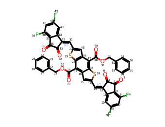 O=C1C(=O)c2c(F)cc(F)cc2/C1=C/c1cc2c(C(=O)OCc3ccccc3)c3sc(/C=C4\C(=O)C(=O)c5c(F)cc(F)cc54)cc3c(C(=O)OCc3ccccc3)c2s1